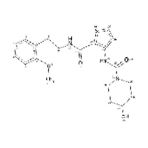 COc1ccccc1CCNC(=O)c1sccc1NC(=O)N1CCC(O)CC1